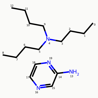 CCCCN(CCCC)CCCC.Nc1cnccn1